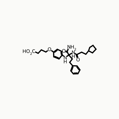 NC(=O)C(CCc1ccccc1)(NC(=O)CCC1CCCC1)Nc1ccc(OCCCC(=O)O)cc1